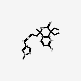 CCC1(CC)C(=O)NC(C)(CC=C=Cc2cnn(C)c2)c2ccc(Cl)nc21